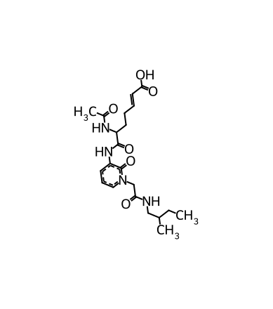 CCC(C)CNC(=O)Cn1cccc(NC(=O)C(CCC=CC(=O)O)NC(C)=O)c1=O